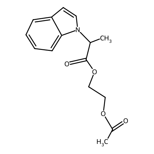 CC(=O)OCCOC(=O)C(C)n1ccc2ccccc21